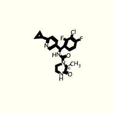 C[C@@H]1C(=O)NCCN1C(=O)NC(c1ccc(C2CC2)nc1)c1ccc(F)c(Cl)c1F